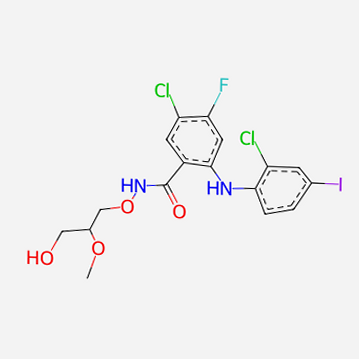 COC(CO)CONC(=O)c1cc(Cl)c(F)cc1Nc1ccc(I)cc1Cl